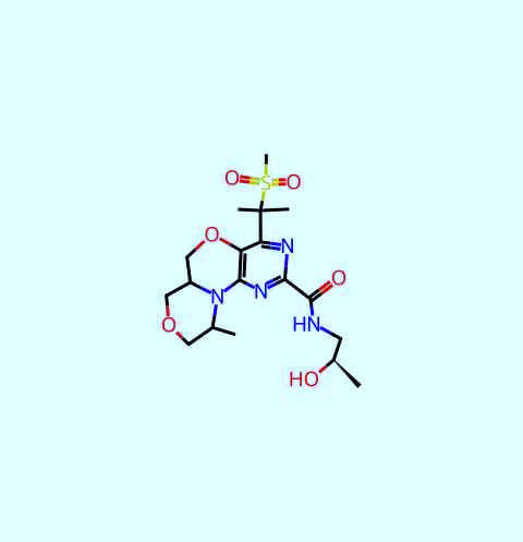 CC1COCC2COc3c(nc(C(=O)NC[C@@H](C)O)nc3C(C)(C)S(C)(=O)=O)N12